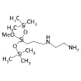 CO[Si](CCCNCCN)(O[Si](C)(C)C)O[Si](C)(C)C